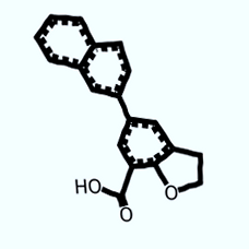 O=C(O)c1cc(-c2ccc3ccccc3c2)cc2c1OCC2